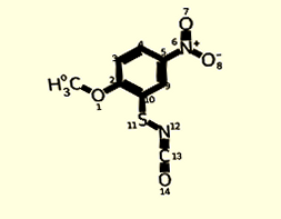 COc1ccc([N+](=O)[O-])cc1SN=C=O